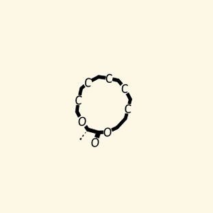 C[C@@H]1OCCCCCCCCCCCCOC1=O